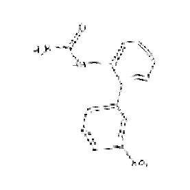 NC(=O)Nc1ccccc1-c1cccc([N+](=O)[O-])c1